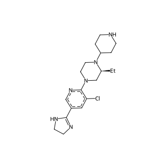 CC[C@H]1CN(c2ncc(C3=NCCN3)cc2Cl)CCN1C1CCNCC1